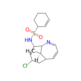 C[C@@H]1C2C=CC=NC1C(NS(=O)(=O)C1C=CCCC1)CC(Cl)C2